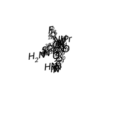 CC(C)N(C(=O)NCc1ccc(F)cc1)N1CC(=O)N2[C@@H](Cc3ccc(-c4nnn[nH]4)cc3)C(=O)N(Cc3cccc4sc(N)nc34)C[C@@H]21